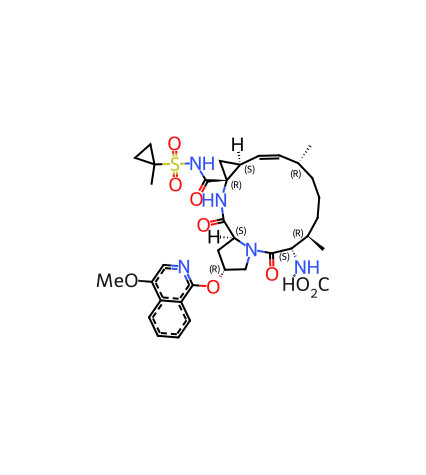 COc1cnc(O[C@@H]2C[C@H]3C(=O)N[C@]4(C(=O)NS(=O)(=O)C5(C)CC5)C[C@H]4C=C[C@H](C)CCC[C@@H](C)[C@H](NC(=O)O)C(=O)N3C2)c2ccccc12